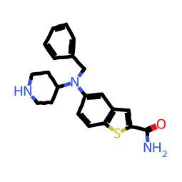 NC(=O)c1cc2cc(N(Cc3ccccc3)C3CCNCC3)ccc2s1